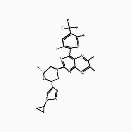 Cc1nc2nc(N3C[C@@H](C)O[C@@H](c4cnn(C5CC5)c4)C3)nc(-c3cc(F)c(C(F)(F)F)cc3F)c2nc1C